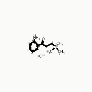 C[Si](C)(C)CCC(=O)c1ccccc1N.Cl